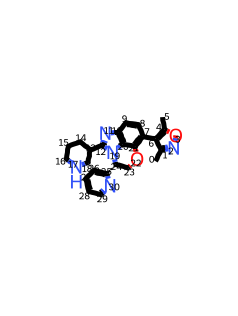 Cc1noc(C)c1-c1ccc2nc(C3CCCNC3)n3c2c1OC[C@@H]3c1ccccn1